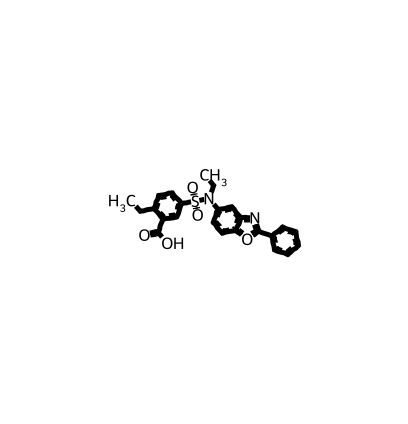 CCc1ccc(S(=O)(=O)N(CC)c2ccc3oc(-c4ccccc4)nc3c2)cc1C(=O)O